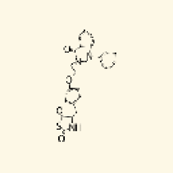 O=C1NC(Cc2ccc(OCCN3CN(c4ccccc4)c4ccccc4C3=O)cc2)C(=O)S1